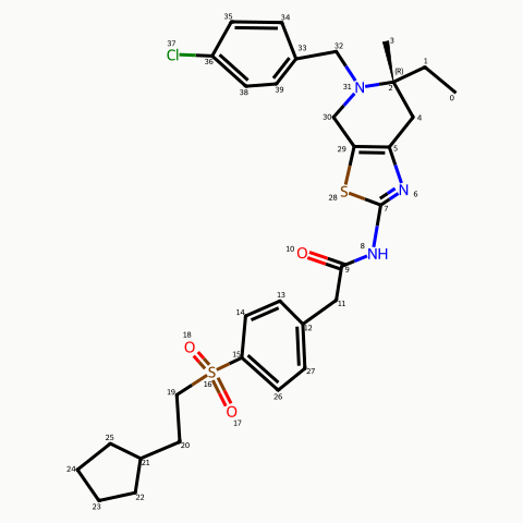 CC[C@]1(C)Cc2nc(NC(=O)Cc3ccc(S(=O)(=O)CCC4CCCC4)cc3)sc2CN1Cc1ccc(Cl)cc1